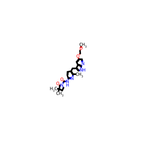 COCCOc1cnc2[nH]cc(Cc3ccc(NC(=O)N4CCC(C)(C)C4=O)nc3C)c2c1